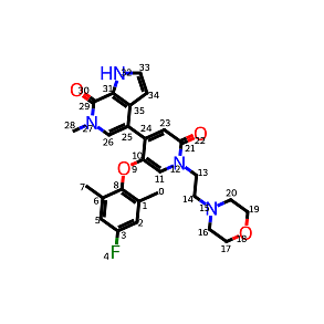 Cc1cc(F)cc(C)c1Oc1cn(CCN2CCOCC2)c(=O)cc1-c1cn(C)c(=O)c2[nH]ccc12